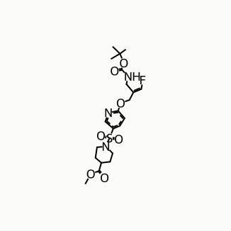 COC(=O)C1CCN(S(=O)(=O)c2ccc(OC/C(=C/F)CNC(=O)OC(C)(C)C)nc2)CC1